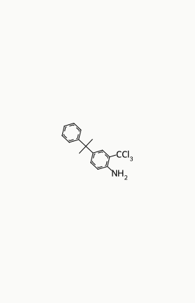 CC(C)(c1ccccc1)c1ccc(N)c(C(Cl)(Cl)Cl)c1